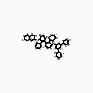 C1=CC2=C(C=C(n3c4ccccc4c4c(-c5cccc6c5c5c(n6-c6cc(-c7ccccc7)cc(-c7ccccc7)c6)C=CCC5)cccc43)CC2)CC1